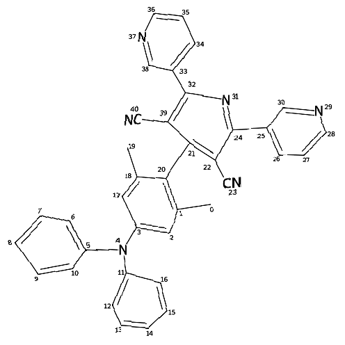 Cc1cc(N(c2ccccc2)c2ccccc2)cc(C)c1-c1c(C#N)c(-c2cccnc2)nc(-c2cccnc2)c1C#N